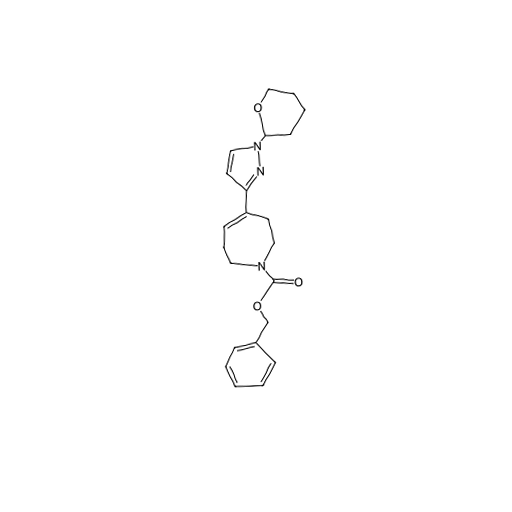 O=C(OCc1ccccc1)N1CCC=C(c2ccn(C3CCCCO3)n2)CC1